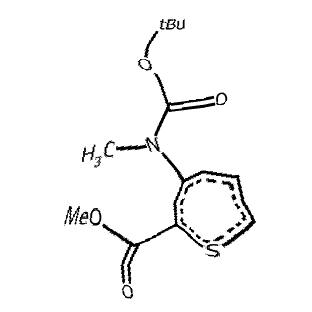 COC(=O)c1sccc1N(C)C(=O)OC(C)(C)C